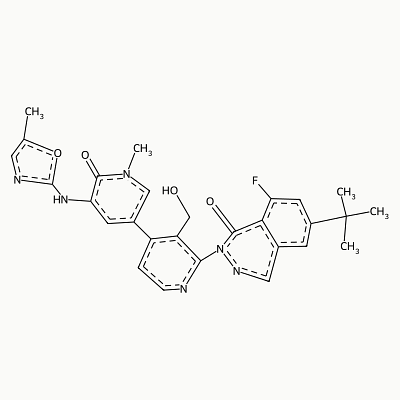 Cc1cnc(Nc2cc(-c3ccnc(-n4ncc5cc(C(C)(C)C)cc(F)c5c4=O)c3CO)cn(C)c2=O)o1